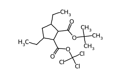 CCC1CC(CC)C(C(=O)OC(Cl)(Cl)Cl)C1C(=O)OC(C)(C)C